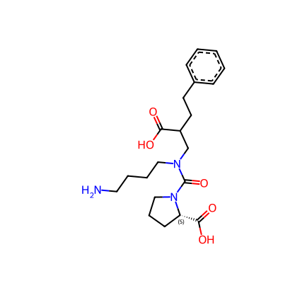 NCCCCN(CC(CCc1ccccc1)C(=O)O)C(=O)N1CCC[C@H]1C(=O)O